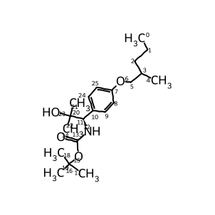 CCCC(C)COc1ccc([C@@H](NC(=O)OC(C)(C)C)C(C)(C)O)cc1